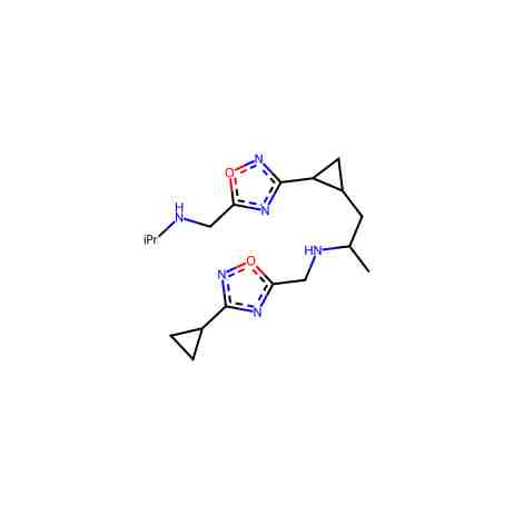 CC(C)NCc1nc(C2CC2CC(C)NCc2nc(C3CC3)no2)no1